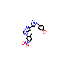 COc1ccc(Cn2cc(-c3cc4n(-c5cc([N+](=O)[O-])ccc5C)ccn4n3)cn2)cc1